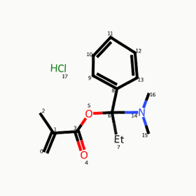 C=C(C)C(=O)OC(CC)(c1ccccc1)N(C)C.Cl